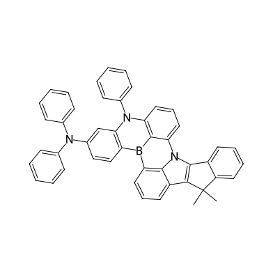 CC1(C)c2ccccc2-c2c1c1cccc3c1n2-c1cccc2c1B3c1ccc(N(c3ccccc3)c3ccccc3)cc1N2c1ccccc1